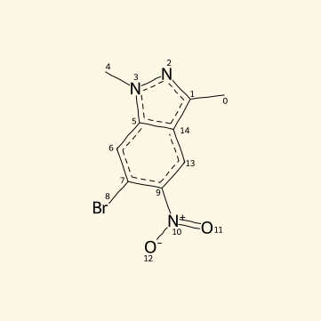 Cc1nn(C)c2cc(Br)c([N+](=O)[O-])cc12